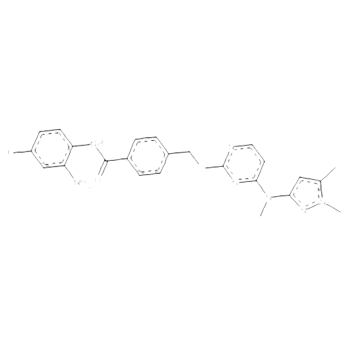 Cc1cc(N(C)c2ccnc(SCc3ccc(C(=O)Nc4ccc(F)cc4N)cc3)n2)nn1C